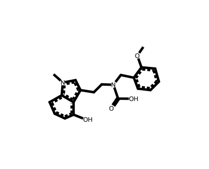 COc1ccccc1CN(CCc1cn(C)c2cccc(O)c12)C(=O)O